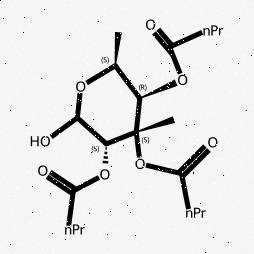 CCCC(=O)O[C@@H]1C(O)O[C@@H](C)[C@@H](OC(=O)CCC)[C@]1(C)OC(=O)CCC